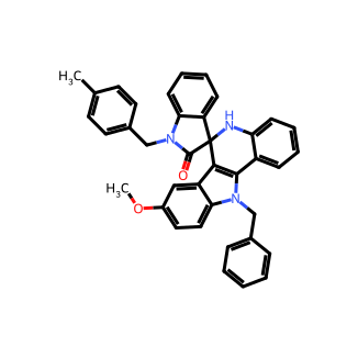 COc1ccc2c(c1)c1c(n2Cc2ccccc2)-c2ccccc2NC12C(=O)N(Cc1ccc(C)cc1)c1ccccc12